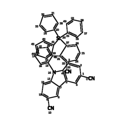 N#Cc1ccc2c(c1)c1cc(C#N)ccc1n2-c1ccccc1-c1c(C#N)cccc1[Si](c1ccccc1)(c1ccccc1)c1ccccc1